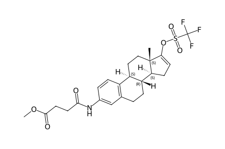 COC(=O)CCC(=O)Nc1ccc2c(c1)CC[C@@H]1[C@@H]2CC[C@]2(C)C(OS(=O)(=O)C(F)(F)F)=CC[C@@H]12